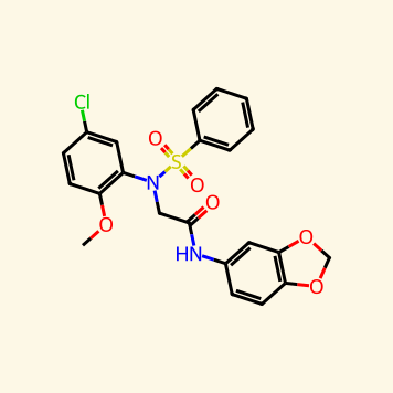 COc1ccc(Cl)cc1N(CC(=O)Nc1ccc2c(c1)OCO2)S(=O)(=O)c1ccccc1